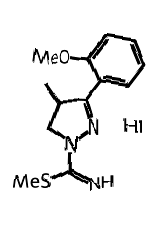 COc1ccccc1C1=NN(C(=N)SC)CC1C.I